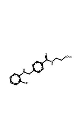 CCCCCCCCCCCCNC(=O)c1ccc(CNc2ccccc2C(C)C)cc1